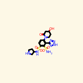 NS(=O)(=O)c1c(S(=O)(=O)NC2CCNC2)ccc(N2CCC(O)CC2=O)c1-c1nn[nH]n1